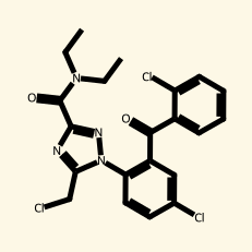 CCN(CC)C(=O)c1nc(CCl)n(-c2ccc(Cl)cc2C(=O)c2ccccc2Cl)n1